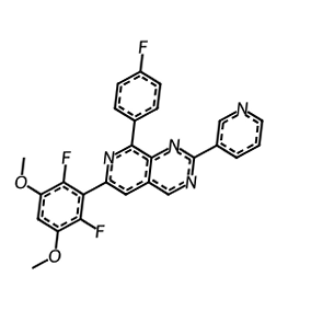 COc1cc(OC)c(F)c(-c2cc3cnc(-c4cccnc4)nc3c(-c3ccc(F)cc3)n2)c1F